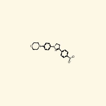 O=[N+]([O-])c1ccc(C2=NN(c3ccc(N4CCOCC4)cc3)CC2)cc1